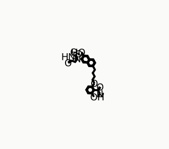 CN(C)C(=O)c1c(O)cccc1OCCCCc1ccc2cc(O)c(N3CC(=O)NS3(=O)=O)cc2c1